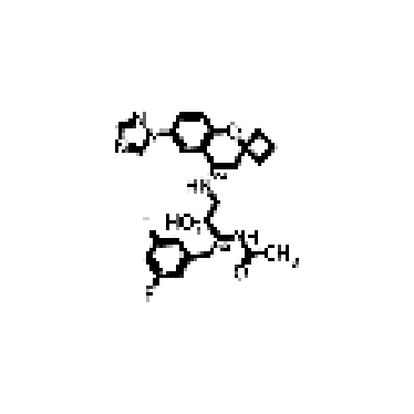 CC(=O)N[C@@H](Cc1cc(F)cc(F)c1)[C@H](O)CN[C@H]1CC2(CCC2)Oc2ccc(-n3cncn3)cc21